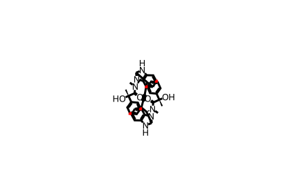 CN(C(=O)[C@@](C)(O)c1ccccc1)[C@@H]1c2nc3cc(ccc3[nH]2)C1C#CC1c2ccc3[nH]c(nc3c2)[C@H]1N(C)C(=O)[C@@](C)(O)c1ccccc1